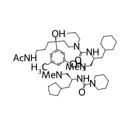 CNC[C@H](CC1CCCC1)NC(=O)N1CCCCC1.CNC[C@H](CC1CCCCC1)NC(=O)N1CCC[C@@H]([C@@](O)(CCCNC(C)=O)c2cc(C)cc(C)c2)C1